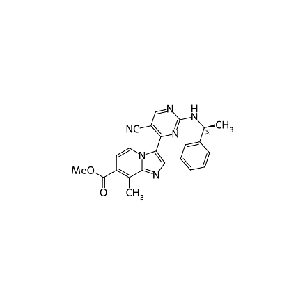 COC(=O)c1ccn2c(-c3nc(N[C@@H](C)c4ccccc4)ncc3C#N)cnc2c1C